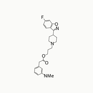 CNc1cccc(CC(=O)OCCCN2CCC(c3noc4cc(F)ccc34)CC2)c1